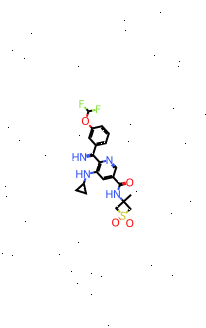 CC1(NC(=O)c2cnc(C(=N)c3cccc(OC(F)F)c3)c(NC3CC3)c2)CS(=O)(=O)C1